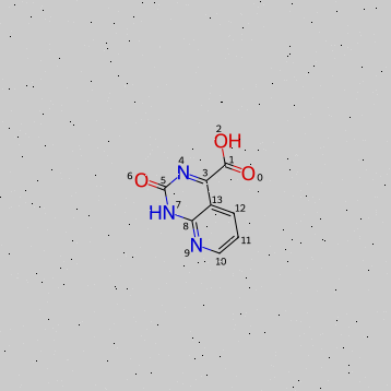 O=C(O)c1nc(=O)[nH]c2ncccc12